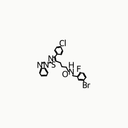 O=C(CCCc1sc(-n2cnc3ccccc32)nc1-c1ccc(Cl)cc1)NCc1cc(Br)ccc1F